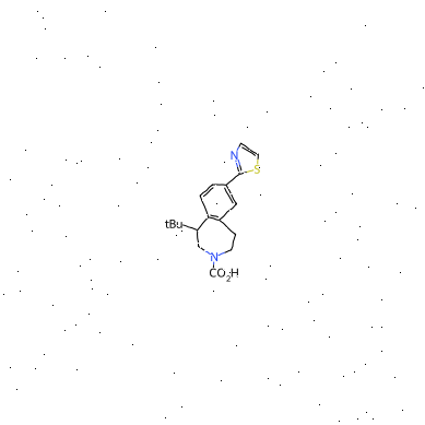 CC(C)(C)C1CN(C(=O)O)CCc2cc(-c3nccs3)ccc21